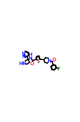 O=C(N[C@@]1(c2cccnn2)CCNC1)c1ccc(C2CCN(C(=O)c3cccc(F)c3)CC2)s1